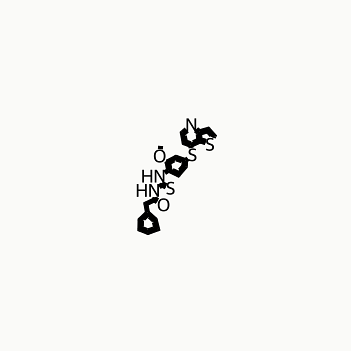 COc1cc(Sc2ccnc3ccsc23)ccc1NC(=S)NC(=O)Cc1ccccc1